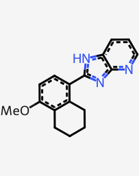 COc1ccc(-c2nc3ncccc3[nH]2)c2c1CCCC2